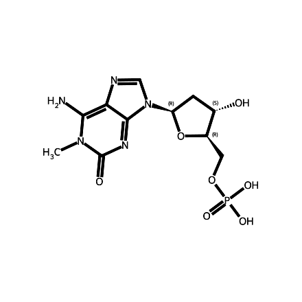 Cn1c(N)c2ncn([C@H]3C[C@H](O)[C@@H](COP(=O)(O)O)O3)c2nc1=O